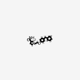 NC(=O)C1CCN(CCOc2ccc(Cc3ccccc3)cc2)C1